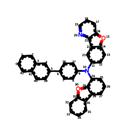 c1ccc2cc(-c3ccc(N(c4ccc5oc6cccnc6c5c4)c4cccc5c4oc4ccccc45)cc3)ccc2c1